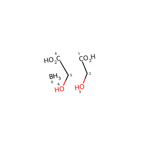 B.O=C(O)CO.O=C(O)CO